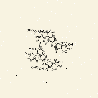 CC[C@@]1(O)C(=O)OCc2c1cc1n(c2=O)Cc2c-1nc1cc(F)c(OC)cc1c2CN1CCN(C)CC1.CC[C@@]1(O)C(=O)OCc2c1cc1n(c2=O)Cc2c-1nc1cc(F)c(OC)cc1c2CN1CCN(C)CC1.O=CO.O=CO